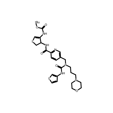 CC(C)(C)OC(=O)NC1=CSCC1NC(=O)c1ccc(CN(CCCN2CCOCC2)C(=O)Nc2ccsc2)cn1